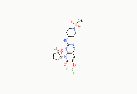 CC[C@@]1(O)CCC[C@H]1n1c(=O)c(OC(F)F)cc2cnc(NC3CCN(S(C)(=O)=O)CC3)nc21